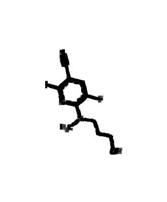 CN(CCCO)c1nc(I)c(C#N)cc1F